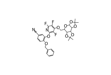 CC1(C)OC2OC(COc3c(F)c(F)nc(Oc4cc(C#N)ccc4OCc4ccccc4)c3F)C3OC(C)(C)OC3C2O1